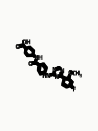 COc1cc(F)ccc1-c1ncnc(Nc2ccc(C(=O)NC3CCC(C(=O)O)CC3)cc2)n1